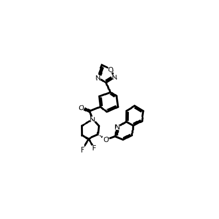 O=C(c1cccc(-c2ncon2)c1)N1CCC(F)(F)[C@@H](Oc2ccc3ccccc3n2)C1